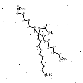 CCCCCCCCCCCCCCCCOCCC(CC(C)N)(OCCCCCCCCCCCCCCCC)OCCCCCCCCCCCCCCCC